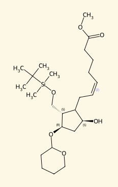 COC(=O)CCC/C=C\CC1[C@@H](CO[Si](C)(C)C(C)(C)C)[C@H](OC2CCCCO2)C[C@@H]1O